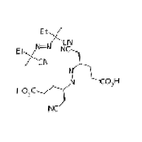 CCC(C)(C#N)N=NC(C)(C#N)CC.N#CC[C@@H](CCC(=O)O)N=N[C@@H](CC#N)CCC(=O)O